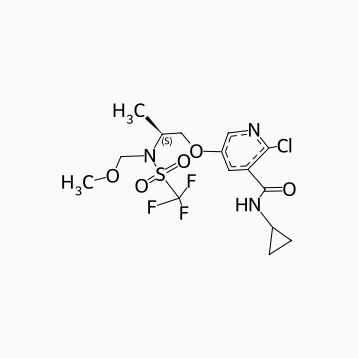 COCN([C@@H](C)COc1cnc(Cl)c(C(=O)NC2CC2)c1)S(=O)(=O)C(F)(F)F